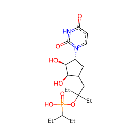 CCC(CC)P(=O)(O)OC(CC)(CC)CC1C[C@@H](n2ccc(=O)[nH]c2=O)[C@H](O)[C@@H]1O